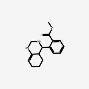 COC(=O)c1ccccc1C1NCNC2=CCCCC21